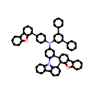 c1ccc(-c2cc(-c3ccccc3)cc(N(c3ccc(-c4cccc5c4oc4ccccc45)cc3)c3ccc4c(c3)-c3ccc5c(oc6ccccc65)c3-c3cccc5c6ccccc6n-4c35)c2)cc1